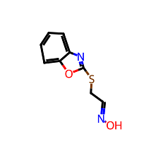 ON=CCSc1nc2ccccc2o1